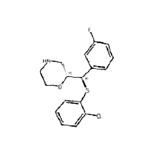 Fc1cccc([C@@H](Sc2ccccc2Cl)[C@H]2CNCCO2)c1